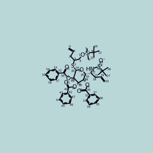 C=CCC(CO[Si](C)(C)C(C)(C)C)S[C@H]1O[C@H](C(CC=C)N[S@+]([O-])C(C)(C)C)[C@H](OC(=O)c2ccccc2)[C@H](OC(=O)c2ccccc2)[C@H]1OC(=O)c1ccccc1